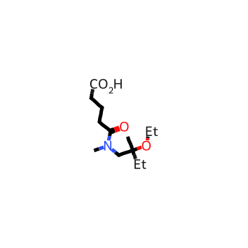 CCOC(C)(CC)CN(C)C(=O)CCCC(=O)O